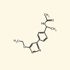 CCOc1cc(-c2ccc(C(C)NC(C)=O)cc2)ncn1